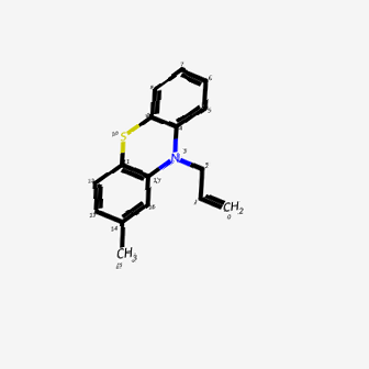 C=CCN1c2ccccc2Sc2ccc(C)cc21